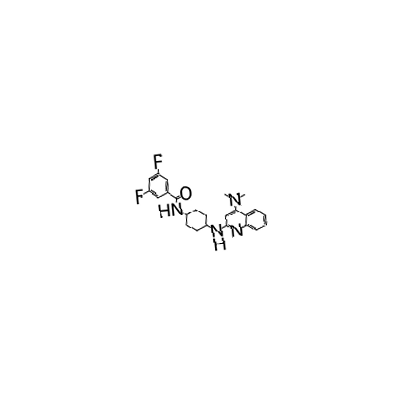 CN(C)c1cc(NC2CCC(NC(=O)c3cc(F)cc(F)c3)CC2)nc2ccccc12